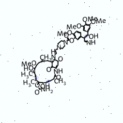 COc1ccc(/C(C=N)=C(/O)c2cc(OC)c(OC)c(OC)c2)cc1OC(=O)N1CCN(CCNC2=C3C[C@@H](C)CC(OC)C(O)[C@@H](C)/C=C(\C)C(OC(N)=O)C(O)/C=C\C(C)C(=O)NC(=CC2=O)C3=O)CC1